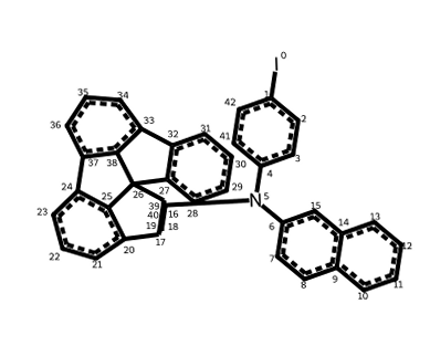 Ic1ccc(N(c2ccc3ccccc3c2)C2CCC3c4cccc5c4C4(c6ccccc6-c6cccc-5c64)C3C2)cc1